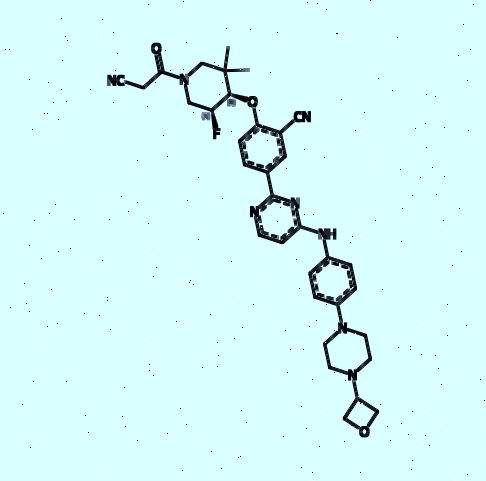 CC1(C)CN(C(=O)CC#N)C[C@H](F)[C@@H]1Oc1ccc(-c2nccc(Nc3ccc(N4CCN(C5COC5)CC4)cc3)n2)cc1C#N